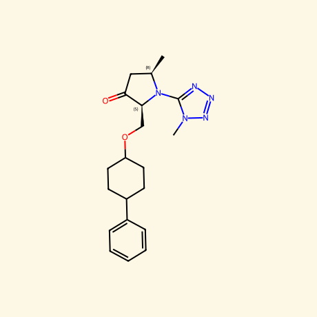 C[C@@H]1CC(=O)[C@H](COC2CCC(c3ccccc3)CC2)N1c1nnnn1C